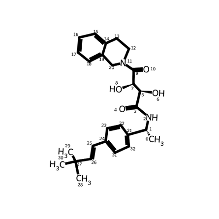 C[C@@H](NC(=O)[C@H](O)[C@@H](O)C(=O)N1CCc2ccccc2C1)c1ccc(/C=C/C(C)(C)C)cc1